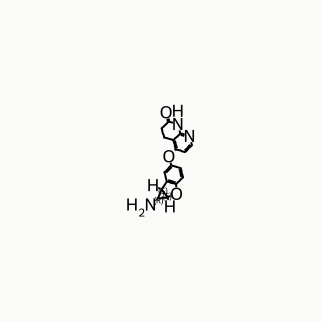 N[C@H]1[C@H]2Oc3ccc(Oc4ccnc5c4CCC(=O)N5)cc3[C@@H]12